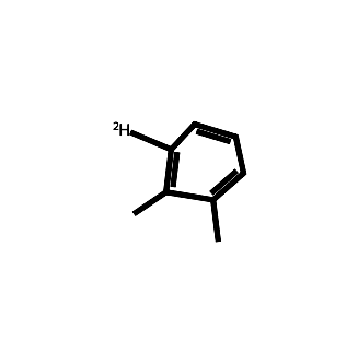 [2H]c1cccc(C)c1C